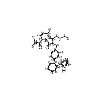 CCCCc1c(Cc2ccc(-c3ccccc3-c3nnn[nH]3)cc2)c(=O)n2n1C(C)C=CC2C(=O)N(C)C